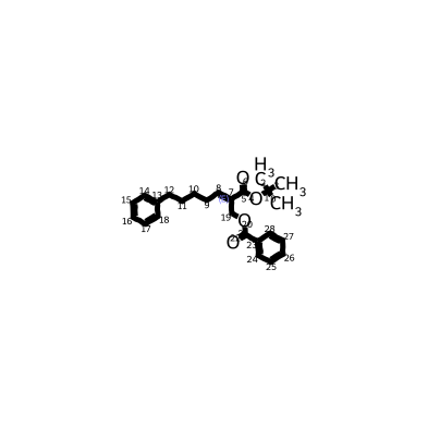 CC(C)(C)OC(=O)/C(=C/CCCCc1ccccc1)COC(=O)c1ccccc1